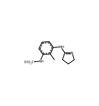 CCOC(=O)Nc1cccc(NC2=NCCC2)c1C